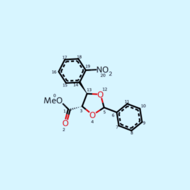 COC(=O)[C@H]1OC(c2ccccc2)O[C@@H]1c1ccccc1[N+](=O)[O-]